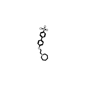 O=S(=O)(Cl)c1ccc(-c2ccc(OCCN3CCCCCC3)cc2)cc1